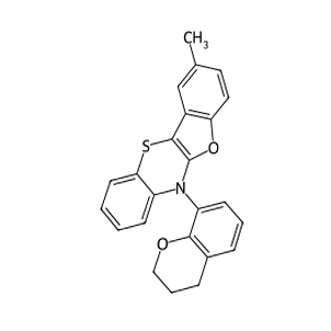 Cc1ccc2oc3c(c2c1)Sc1ccccc1N3c1cccc2c1OCCC2